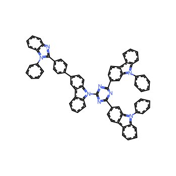 c1ccc(-n2c(-c3ccc(-c4ccc5c(c4)c4ccccc4n5-c4nc(-c5ccc6c7ccccc7n(-c7ccccc7)c6c5)nc(-c5ccc6c7ccccc7n(-c7ccccc7)c6c5)n4)cc3)nc3ccccc32)cc1